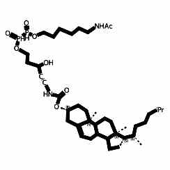 CC(=O)NCCCCCCO[PH](=O)[PH](=O)OCCC(O)CCNC(=O)O[C@@H]1CC[C@]2(C)C(=CCC3C2CC[C@]2(C)C3CC[C@H]2[C@@H](C)CCCC(C)C)C1